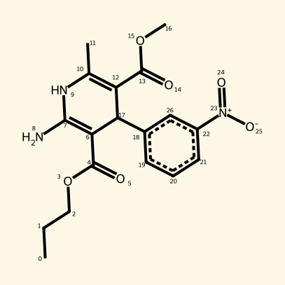 CCCOC(=O)C1=C(N)NC(C)=C(C(=O)OC)C1c1cccc([N+](=O)[O-])c1